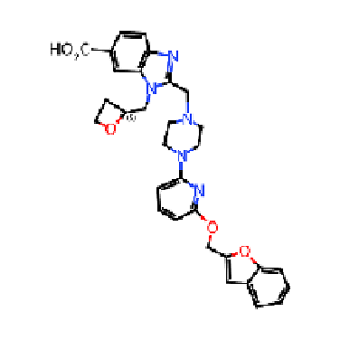 O=C(O)c1ccc2nc(CN3CCN(c4cccc(OCc5cc6ccccc6o5)n4)CC3)n(C[C@@H]3CCO3)c2c1